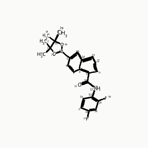 CC1(C)OB(c2ccc3c(C(=O)Nc4ccc(F)cc4F)cccc3c2)OC1(C)C